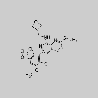 COc1cc(OC)c(Cl)c(-c2cc3cnc(SC)nc3c(NCC3COC3)n2)c1Cl